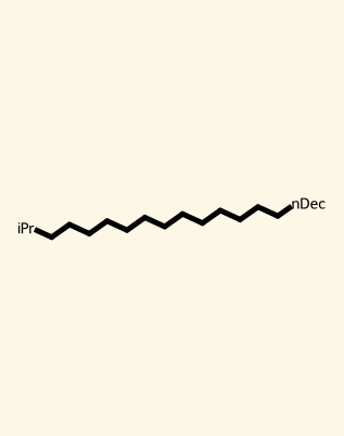 [CH2]CCCCCCCCCCCCCCCCCCCCCCC(C)C